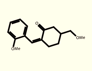 COCC1CC/C(=C/c2ccccc2OC)C(=O)C1